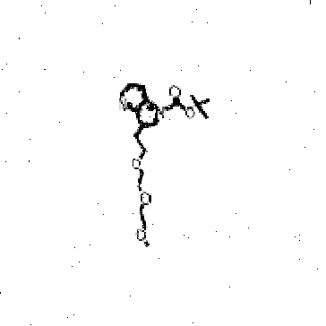 COCCOCCOCCc1cn(C(=O)OC(C)(C)C)c2cccnc12